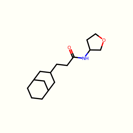 O=C(CCC1CC2CCCC(C2)C1)NC1CCOC1